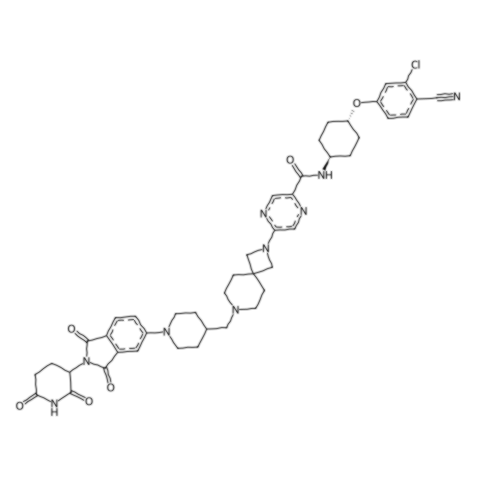 N#Cc1ccc(O[C@H]2CC[C@H](NC(=O)c3cnc(N4CC5(CCN(CC6CCN(c7ccc8c(c7)C(=O)N(C7CCC(=O)NC7=O)C8=O)CC6)CC5)C4)cn3)CC2)cc1Cl